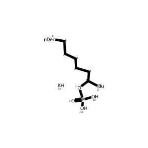 CCCCCCCCCCCCCCCC(OP(=O)(O)O)C(C)CC.[KH]